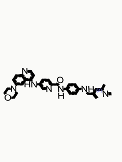 C=N/C(C)=C\C(=C)CNc1ccc(NC(=O)c2ccc(Nc3ccnc4ccc(N5CCOCC5)cc34)cn2)cc1